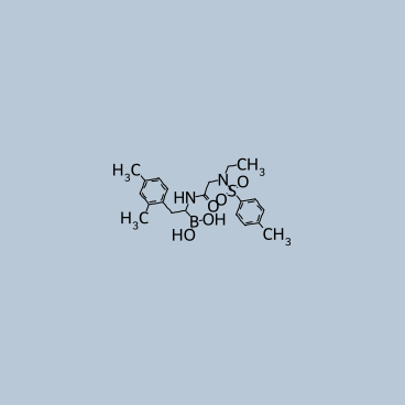 CCN(CC(=O)NC(Cc1ccc(C)cc1C)B(O)O)S(=O)(=O)c1ccc(C)cc1